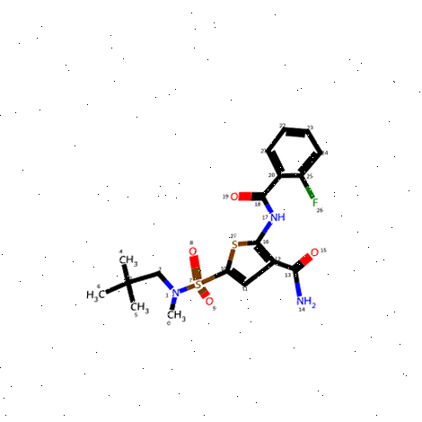 CN(CC(C)(C)C)S(=O)(=O)c1cc(C(N)=O)c(NC(=O)c2ccccc2F)s1